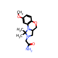 COc1ccc2c(c1)N1C(CO2)CN(CC(N)=O)C1(C)C